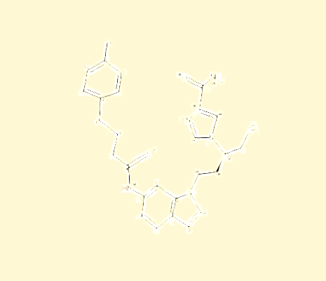 Cc1ccc(CCCC(=O)Nc2ccc3ccn(CC[C@H](CO)n4cnc(C(N)=O)c4)c3c2)cc1